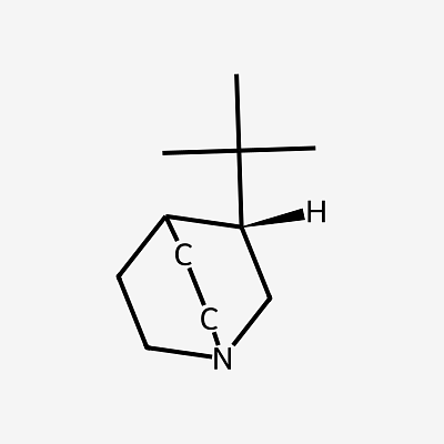 CC(C)(C)[C@@H]1CN2CCC1CC2